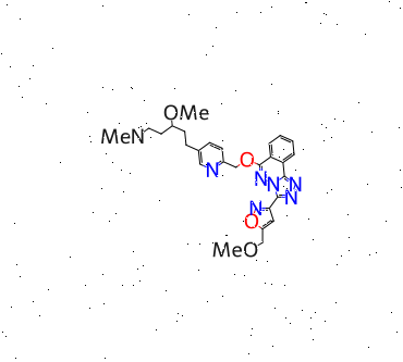 CNCCC(CCc1ccc(COc2nn3c(-c4cc(COC)on4)nnc3c3ccccc23)nc1)OC